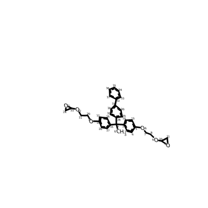 CC(c1ccc(OCCOC2CO2)cc1)(c1ccc(OCCOC2CO2)cc1)c1ccc(-c2ccccc2)cc1